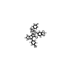 Cc1ccc(S(=O)(=O)OC2C3C(C(=O)N2Cc2ccc4c(c2)OCO4)C(c2ccc(Br)cc2)N2CCCC32)cc1